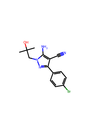 CC(C)(O)Cn1nc(-c2ccc(Br)cc2)c(C#N)c1N